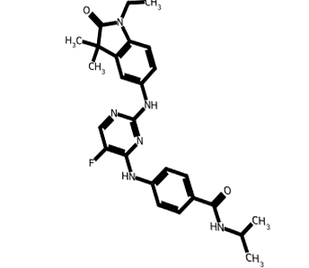 CCN1C(=O)C(C)(C)c2cc(Nc3ncc(F)c(Nc4ccc(C(=O)NC(C)C)cc4)n3)ccc21